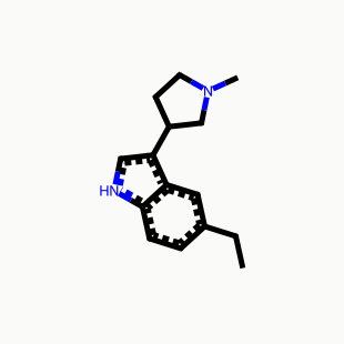 CCc1ccc2[nH]cc(C3CCN(C)C3)c2c1